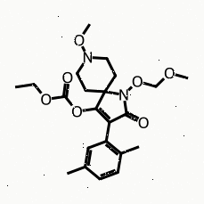 CCOC(=O)OC1=C(c2cc(C)ccc2C)C(=O)N(OCOC)C12CCN(OC)CC2